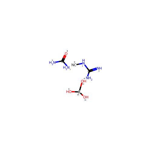 N#CNC(=N)N.NC(N)=O.OB(O)O